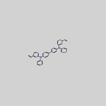 C=Cc1cccc(N(c2ccccc2)c2ccc(-c3ccc(N(C4=CCCC=C4)C4=CC(C=C)CC=C4)cc3)cc2)c1